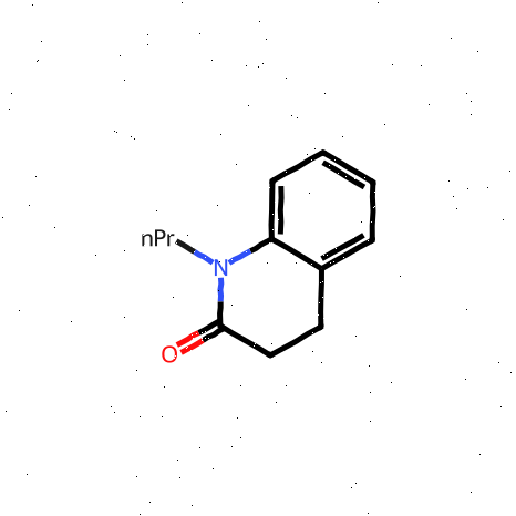 CCCN1C(=O)CCc2ccccc21